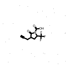 C#CCC1CC(C(F)(F)F)N(C(=O)O)C1=O